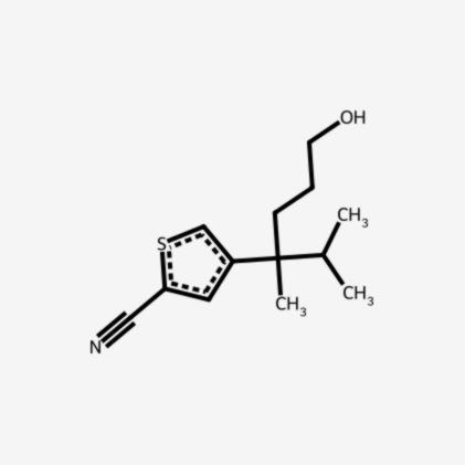 CC(C)C(C)(CCCO)c1csc(C#N)c1